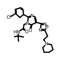 CC(C)(C)NC(=O)Cn1c(C2C=CC=C(Cl)C2)ncc(-c2noc(CCN3CCCCC3)n2)c1=O